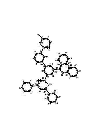 Cc1ccnc(-c2cccc(-c3cc(-c4nc(-c5ccccc5)cc(-c5ccccc5)n4)cc(-c4cc5ccccc5c5ccccc45)c3)c2)n1